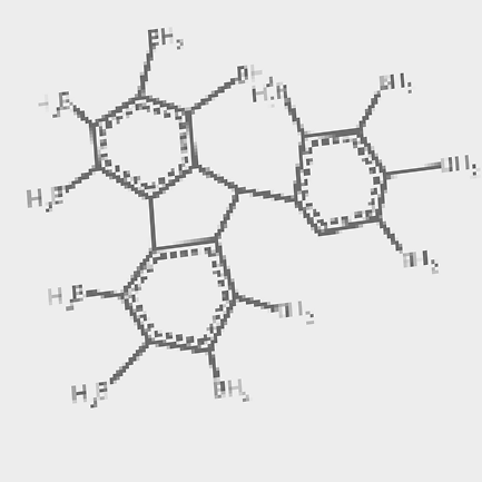 Bc1cc(C2c3c(B)c(B)c(B)c(B)c3-c3c(B)c(B)c(B)c(B)c32)c(B)c(B)c1B